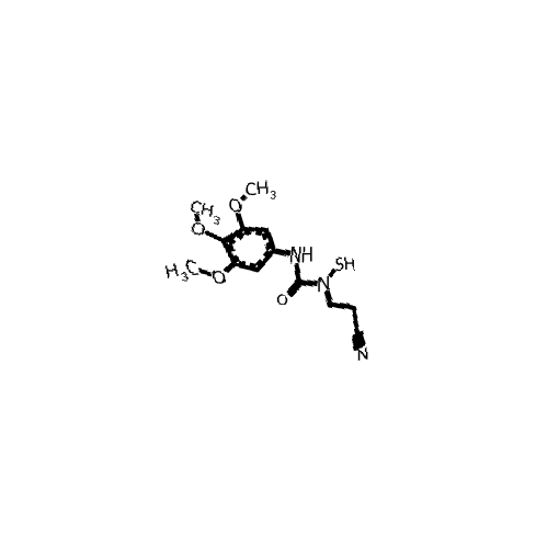 COc1cc(NC(=O)N(S)CCC#N)cc(OC)c1OC